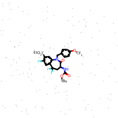 CCOC(=O)c1cc2c(cc1F)C(F)(F)CC(NC(=O)OC(C)(C)C)C(=O)N2Cc1ccc(OC(F)(F)F)cc1